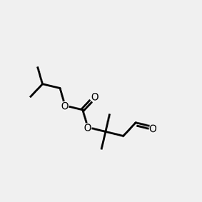 CC(C)COC(=O)OC(C)(C)CC=O